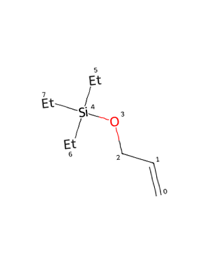 C=CCO[Si](CC)(CC)CC